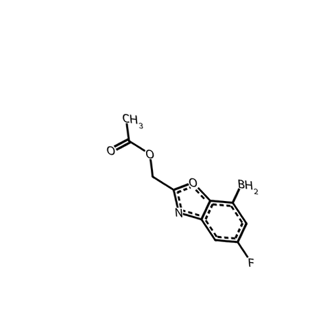 Bc1cc(F)cc2nc(COC(C)=O)oc12